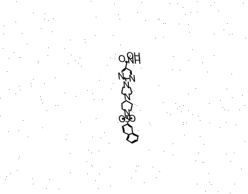 O=C(NO)c1cnc(N2CCN(C3CCN(S(=O)(=O)c4ccc5ccccc5c4)CC3)CC2)nc1